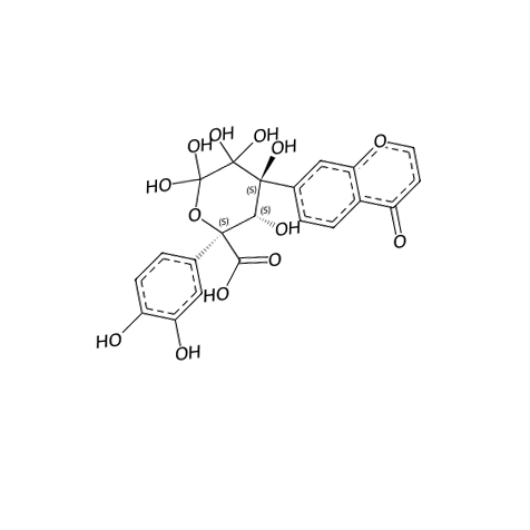 O=C(O)[C@@]1(c2ccc(O)c(O)c2)OC(O)(O)C(O)(O)[C@](O)(c2ccc3c(=O)ccoc3c2)[C@@H]1O